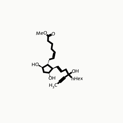 CC#CC(O)(C/C=C/[C@@H]1[C@@H](C/C=C\CCCC(=O)OC)[C@H](O)C[C@H]1O)CCCCCC